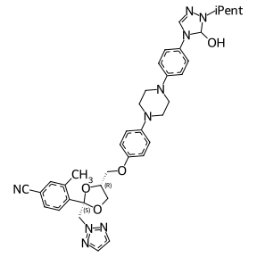 CCCC(C)N1N=CN(c2ccc(N3CCN(c4ccc(OC[C@@H]5CO[C@@](Cn6nccn6)(c6ccc(C#N)cc6C)O5)cc4)CC3)cc2)C1O